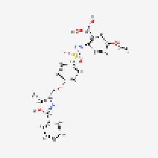 COc1ccc(NS(=O)(=O)c2ccc(OCc3nc(-c4ccccc4)oc3C)cc2)c(C(=O)O)c1